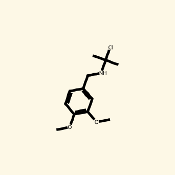 COc1ccc(CNC(C)(C)Cl)cc1OC